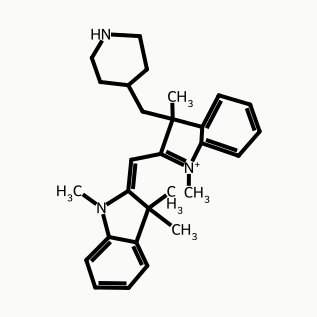 CN1C(=CC2=[N+](C)c3ccccc3C2(C)CC2CCNCC2)C(C)(C)c2ccccc21